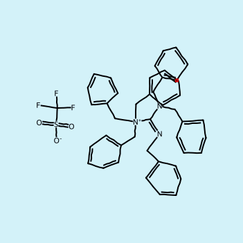 O=S(=O)([O-])C(F)(F)F.c1ccc(CN=C(N(Cc2ccccc2)Cc2ccccc2)[N+](Cc2ccccc2)(Cc2ccccc2)Cc2ccccc2)cc1